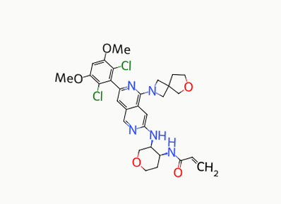 C=CC(=O)N[C@H]1CCOC[C@H]1Nc1cc2c(N3CC4(CCOC4)C3)nc(-c3c(Cl)c(OC)cc(OC)c3Cl)cc2cn1